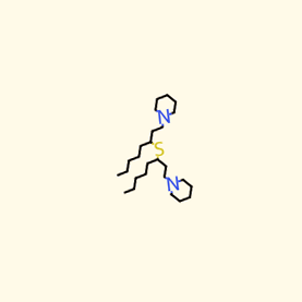 CCCCCC(CCN1CCCCC1)SC(CCCCC)CCN1CCCCC1